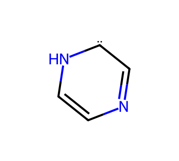 [C]1C=NC=CN1